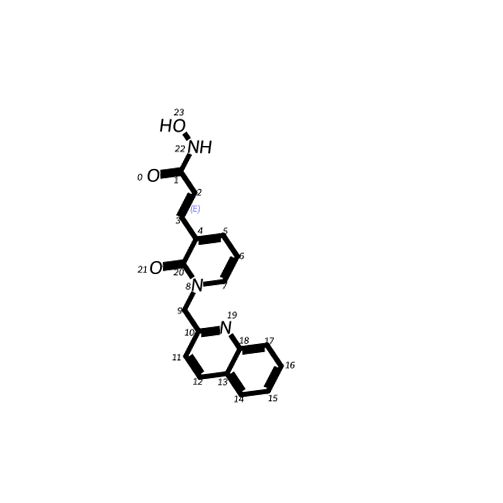 O=C(/C=C/c1cccn(Cc2ccc3ccccc3n2)c1=O)NO